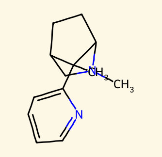 CN1CC2CCC1C2(C)c1ccccn1